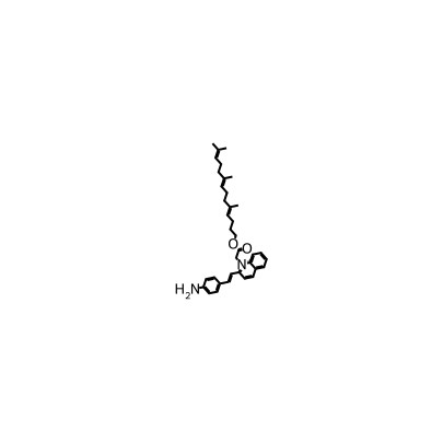 CC(C)=CCC/C(C)=C/CC/C(C)=C/CCCOC(=O)C[n+]1c(/C=C/c2ccc(N)cc2)ccc2ccccc21